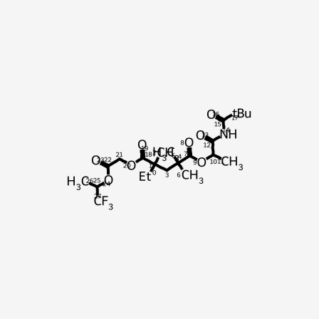 CCC(C)(CC(C)(C)C(=O)OC(C)C(=O)NC(=O)C(C)(C)C)C(=O)OCC(=O)OC(C)C(F)(F)F